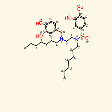 CCCCCCCN(CCN(CCCCCCC)[S+]([O-])c1ccc(O)c(O)c1)Sc1ccc(O)c(O)c1